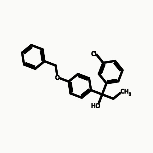 CCC(O)(c1ccc(OCc2ccccc2)cc1)c1cccc(Cl)c1